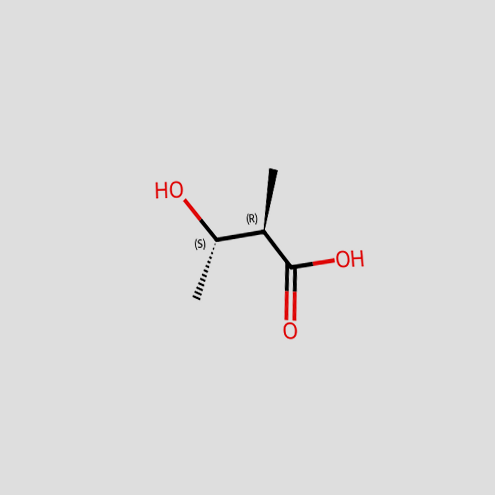 C[C@H](O)[C@@H](C)C(=O)O